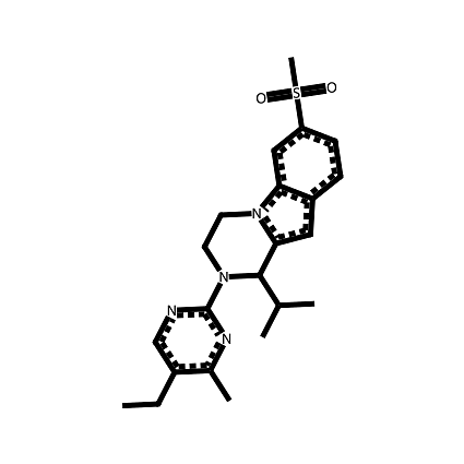 CCc1cnc(N2CCn3c(cc4ccc(S(C)(=O)=O)cc43)C2C(C)C)nc1C